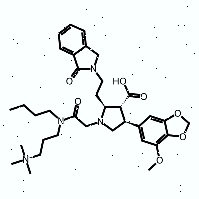 CCCCN(CCC[N+](C)(C)C)C(=O)CN1C[C@H](c2cc(OC)c3c(c2)OCO3)[C@@H](C(=O)O)[C@@H]1CCN1Cc2ccccc2C1=O